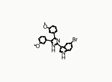 COc1cccc(-c2nc(-c3c[nH]c4ccc(Br)cc34)[nH]c2-c2cccc(OC)c2)c1